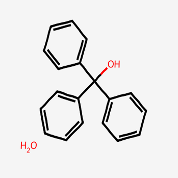 O.OC(c1ccccc1)(c1ccccc1)c1ccccc1